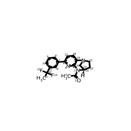 CC(=O)N1c2nc(-c3cccc(C(C)(F)F)c3)ccc2N2CC[C@H]1C2